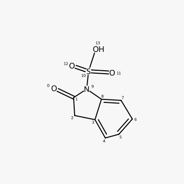 O=C1Cc2ccccc2N1S(=O)(=O)O